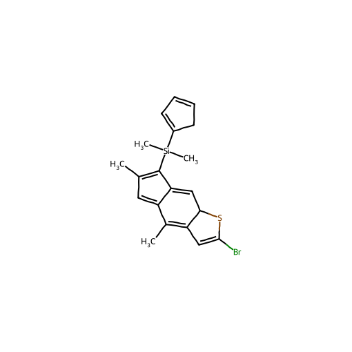 CC1=C([Si](C)(C)C2=CC=CC2)C2=CC3SC(Br)=CC3=C(C)C2=C1